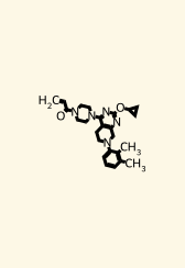 C=CC(=O)N1CCN(c2nc(OC3CC3)nc3c2CCN(c2cccc(C)c2C)C3)CC1